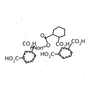 CCCCCCCCCOC(=O)C1CCCCC1C(=O)O.O=C(O)c1cccc(C(=O)O)c1.O=C(O)c1cccc(C(=O)O)c1